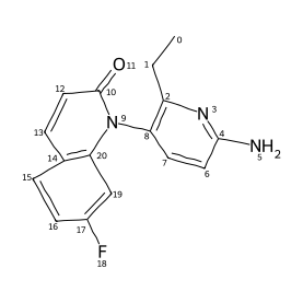 CCc1nc(N)ccc1-n1c(=O)ccc2ccc(F)cc21